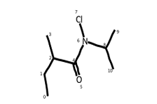 CCC(C)C(=O)N(Cl)C(C)C